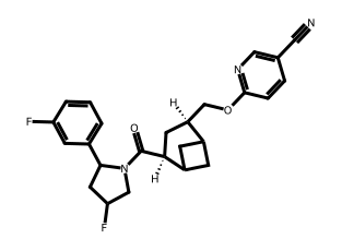 N#Cc1ccc(OC[C@@H]2C[C@H](C(=O)N3CC(F)CC3c3cccc(F)c3)C3CC2C3)nc1